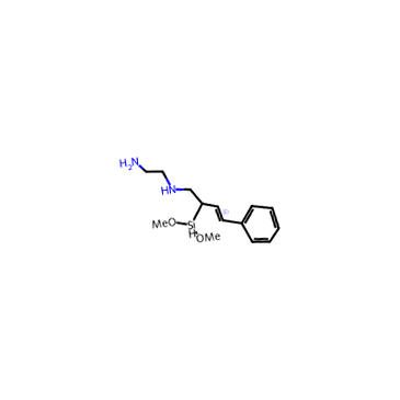 CO[SiH](OC)C(/C=C/c1ccccc1)CNCCN